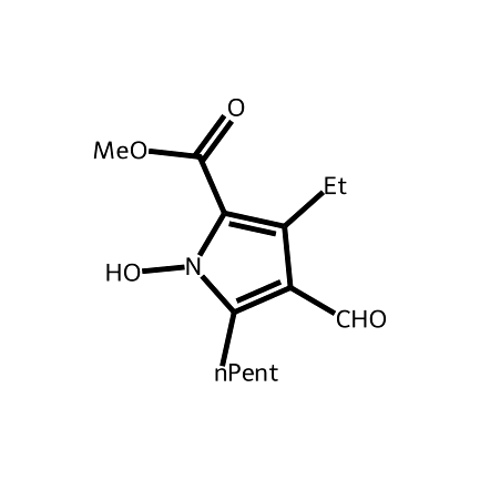 CCCCCc1c(C=O)c(CC)c(C(=O)OC)n1O